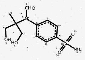 CC(CO)(CO)N(C=O)c1ccc(S(N)(=O)=O)cc1